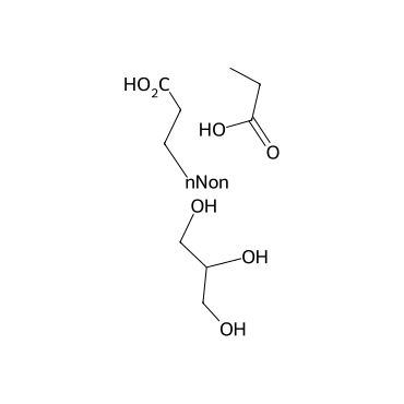 CCC(=O)O.CCCCCCCCCCCC(=O)O.OCC(O)CO